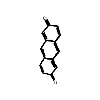 O=C1C=Cc2cc3c(cc2=C1)C=CC(=O)C=3